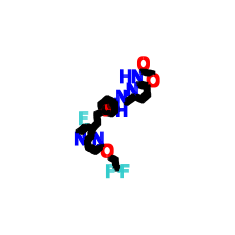 O=C1COc2ccc(CNC34CCC(CCc5c(F)cnc6ccc(OCCC(F)F)nc56)(CC3)OC4)nc2N1